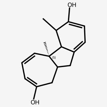 CC1C(O)=CC=C2CC3CC(O)=CC=C[C@@]3(C)C21